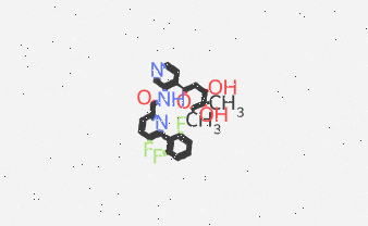 C[C@H]1O[C@@H](c2ccncc2NC(=O)c2ccc(F)c(-c3c(F)cccc3F)n2)C[C@@H](O)[C@]1(C)O